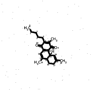 CCCCCC1=C(C)C(=O)C2=C(C=C(C)C3CCC(C)=C[C@@H]23)C1=O